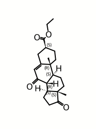 CCOC(=O)[C@H]1CC[C@@]2(C)C(=CC(=O)[C@@H]3[C@@H]2CC[C@]2(C)C(=O)CC[C@@H]32)C1